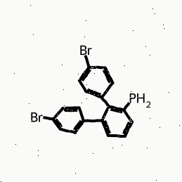 Pc1cccc(-c2ccc(Br)cc2)c1-c1ccc(Br)cc1